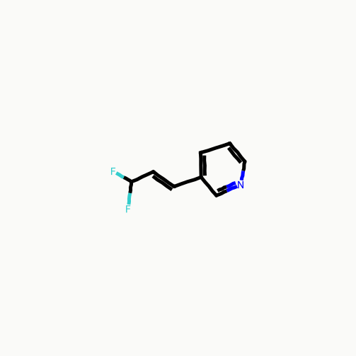 FC(F)C=Cc1cccnc1